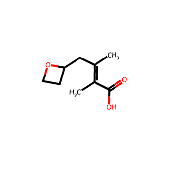 CC(CC1CCO1)=C(C)C(=O)O